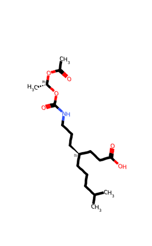 CC(=O)O[C@@H](C)OC(=O)NCCC[C@H](CCCC(C)C)CCC(=O)O